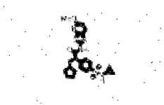 COc1ccc2nc(NC(=O)C(CC3CCCC3)c3ccc(S(=O)(=O)NC4CC4)cc3)sc2n1